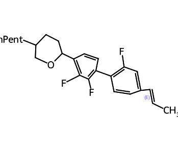 C/C=C/c1ccc(-c2ccc(C3CCC(CCCCC)CO3)c(F)c2F)c(F)c1